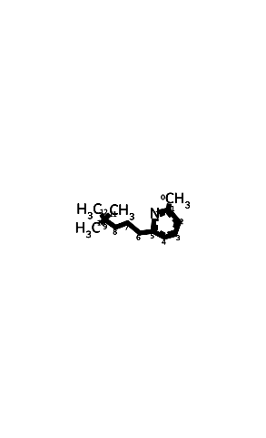 Cc1cccc(CCCC(C)(C)C)n1